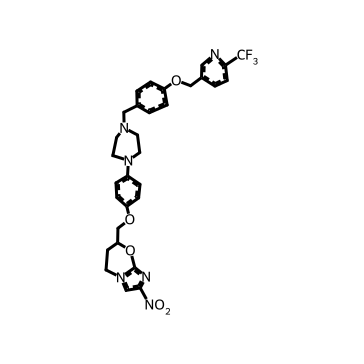 O=[N+]([O-])c1cn2c(n1)OC(COc1ccc(N3CCN(Cc4ccc(OCc5ccc(C(F)(F)F)nc5)cc4)CC3)cc1)CC2